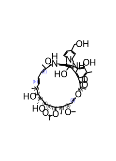 CO[C@H]1/C=C/O[C@@]2(C)Oc3c(C)c(O)c4c(O)c(c5c(c4c3C2=O)NC2C=C(CO)C=CN52)NC(=O)/C(C)=C\C=C\[C@H](C)[C@H](O)[C@@H](C)[C@@H](O)[C@@H](C)[C@H](OC(C)=O)[C@@H]1C